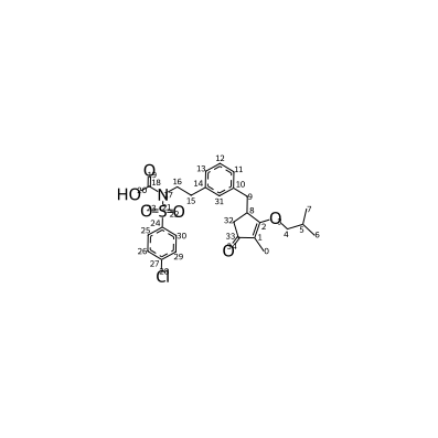 CC1=C(OCC(C)C)C(Cc2cccc(CCN(C(=O)O)S(=O)(=O)c3ccc(Cl)cc3)c2)CC1=O